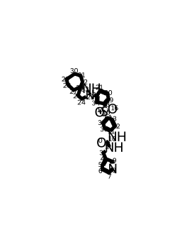 O=C(NCc1cccnc1)Nc1ccc(S(=O)(=O)c2cccc(N3CCC4(CCCCCC4)N3)c2)cc1